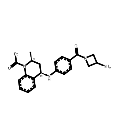 CCC(=O)N1c2ccccc2[C@H](Nc2ccc(C(=O)N3CC(N)C3)cc2)C[C@@H]1C